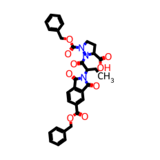 CCC(C(=O)N1C(C(=O)O)CCN1C(=O)OCc1ccccc1)N1C(=O)c2ccc(C(=O)OCc3ccccc3)cc2C1=O